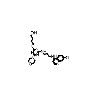 OCCCCNc1nc(NCCCNc2ccnc3cc(Cl)ccc23)nc(N2CCOCC2)n1